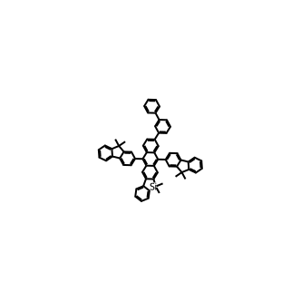 CC1(C)c2ccccc2-c2ccc(-c3c4ccc(-c5cccc(-c6ccccc6)c5)cc4c(-c4ccc5c(c4)C(C)(C)c4ccccc4-5)c4cc5c(cc34)-c3ccccc3[Si]5(C)C)cc21